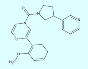 COC1=C(C2=CN(C(=O)N3CCC(c4cccnc4)C3)C=CO2)CCC=C1